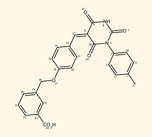 Cc1ccc(N2C(=O)NC(=O)C(=Cc3ccc(OCc4cccc(C(=O)O)c4)cc3)C2=O)cc1